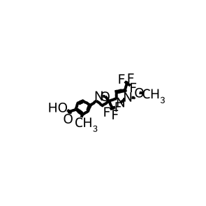 COCn1nc(C2(C(F)(F)F)CC(c3ccc(C(=O)O)c(C)c3)=NO2)cc1C(F)(F)F